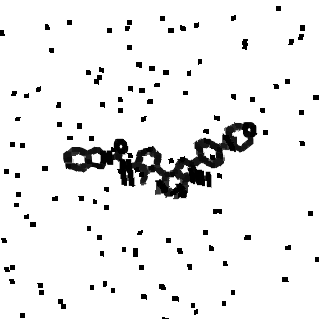 Cc1c(NC(=O)N2Cc3ccccc3C2)cccc1-c1ncnc2[nH]c(-c3ccc(N4CCOCC4)cc3)cc12